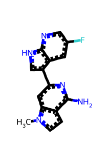 Cn1ccc2c(N)nc(-c3c[nH]c4ncc(F)cc34)cc21